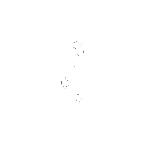 c1cncc(CCc2cc(CNCCCOc3ccc4ncccc4c3)ccn2)c1